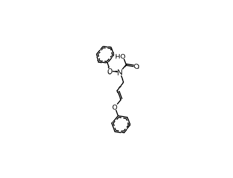 O=C(O)N(CC=COc1ccccc1)Oc1ccccc1